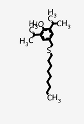 CCCCCCCCCSCc1cc(C(C)C)c(O)c(C(C)C)c1